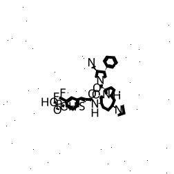 N#C[C@@H]1CN(C(=O)[C@@H]2CC[C@@H]3C[C@@H](N4CCC4)CC[C@H](NC(=O)c4cc5cc(C(F)(F)P(=O)(O)O)ccc5s4)C(=O)N32)C[C@H]1c1ccccc1